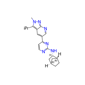 CC(C)c1c2cc(-c3ccnc(N[C@H]4C[C@@H]5CC[C@@H]4C5)n3)cnc2nn1C